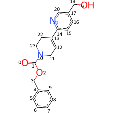 O=C(OCc1ccccc1)N1CC=C(c2ccc(CO)cn2)CC1